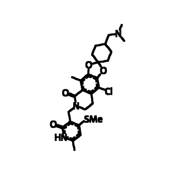 CSc1cc(C)[nH]c(=O)c1CN1CCc2c(Cl)c3c(c(C)c2C1=O)OC1(CCC(CN(C)C)CC1)O3